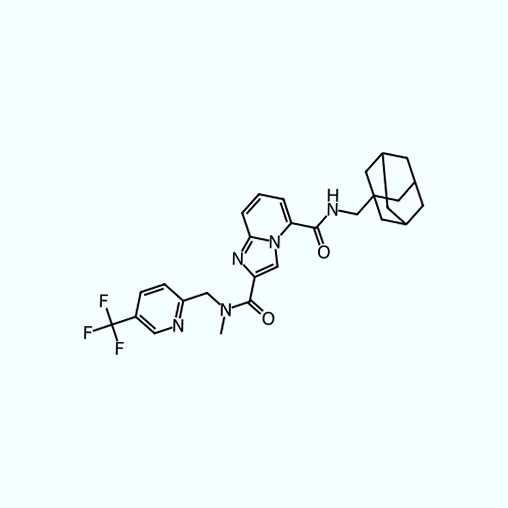 CN(Cc1ccc(C(F)(F)F)cn1)C(=O)c1cn2c(C(=O)NCC34CC5CC(CC(C5)C3)C4)cccc2n1